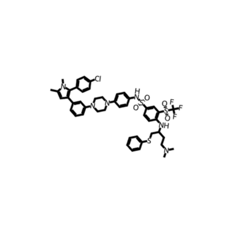 Cc1cc(-c2cccc(N3CCN(c4ccc(NS(=O)(=O)c5ccc(NC(CCN(C)C)CSc6ccccc6)c(S(=O)(=O)C(F)(F)F)c5)cc4)CC3)c2)c(-c2ccc(Cl)cc2)n1C